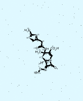 CCCON=C1C(=O)N2C=C(C(=O)O)C(C)(NC(=O)Cc3csc(N)n3)S[C@H]12